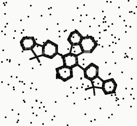 CC1(C)c2ccccc2-c2ccc(-c3c4c(c(-c5ccc6c(c5)C(C)(C)c5ccccc5-6)c5cnccc35)-c3cccc5cccc-4c35)cc21